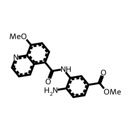 COC(=O)c1ccc(N)c(NC(=O)c2ccc(OC)c3ncccc23)c1